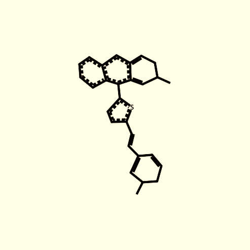 CC1C=C(/C=C/c2ccc(-c3c4c(cc5ccccc35)=CCC(C)C=4)s2)C=CC1